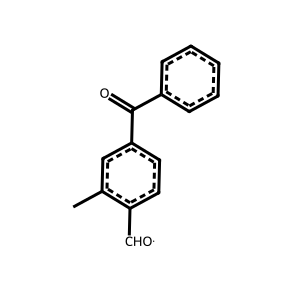 Cc1cc(C(=O)c2ccccc2)ccc1[C]=O